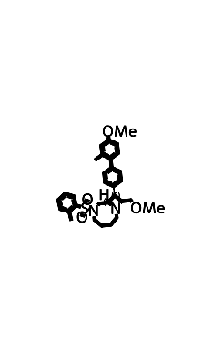 COCC1[C@@H](c2ccc(-c3ccc(OC)cc3C)cc2)[C@@H]2CN(S(=O)(=O)c3ccccc3C)CCCCN12